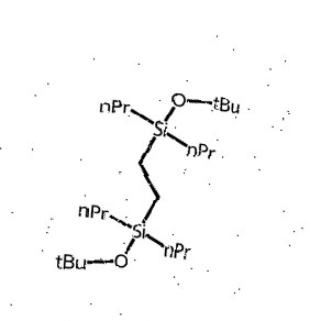 CCC[Si](CCC)(CC[Si](CCC)(CCC)OC(C)(C)C)OC(C)(C)C